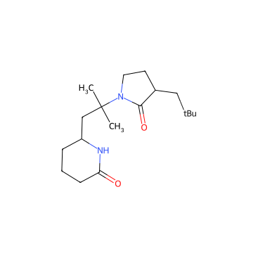 CC(C)(C)CC1CCN(C(C)(C)CC2CCCC(=O)N2)C1=O